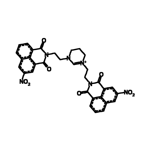 O=C1c2cccc3cc([N+](=O)[O-])cc(c23)C(=O)N1CCN1C=[N+](CCN2C(=O)c3cccc4cc([N+](=O)[O-])cc(c34)C2=O)CCC1